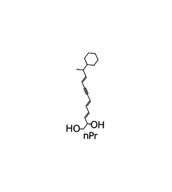 CCC[C@H](O)[C@H](O)/C=C/C=C/C#C/C=C/C(C)C1CCCCC1